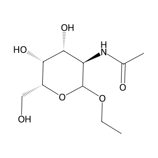 CCOC1O[C@H](CO)[C@H](O)[C@H](O)[C@H]1NC(C)=O